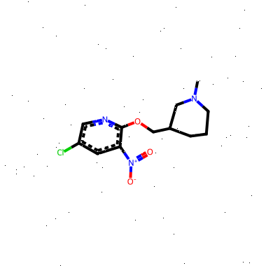 CN1CCCC(COc2ncc(Cl)cc2[N+](=O)[O-])C1